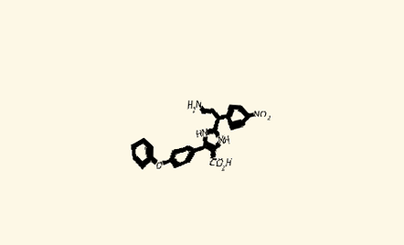 NCCC(c1ccc([N+](=O)[O-])cc1)C1NC(C(=O)O)=C(c2ccc(Oc3ccccc3)cc2)N1